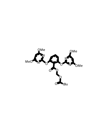 COc1cc(OC)nc(Oc2cccc(Oc3nc(OC)cc(OC)n3)c2C(=O)OCOC(=O)C(C)(C)C)n1